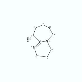 C1CCC2=NCCCN2CC1.[Sn]